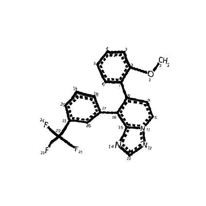 COc1ccccc1-c1ccn2n[c]nc2c1-c1cccc(C(F)(F)F)c1